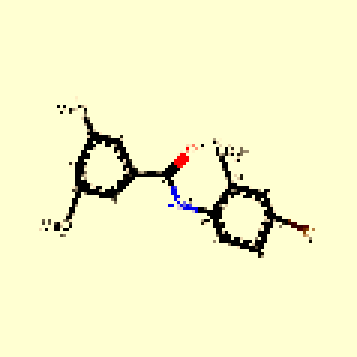 COc1cc(OC)cc(C(=O)Nc2ccc(Br)cc2C(=O)O)c1